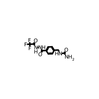 NC(=O)NCc1ccc(C(=O)NNC(=O)C(F)(F)F)cc1